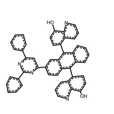 Oc1ccc(-c2c3ccccc3c(-c3ccc(O)c4ncccc34)c3cc(-c4cc(-c5ccccc5)nc(-c5ccccc5)n4)ccc23)c2cccnc12